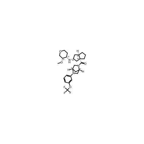 CO[C@@H]1COCC[C@@H]1N[C@@H]1C[C@H]2CCC[C@@]2(C(=O)N2C[C@@H]3C[C@H]2CN3c2cccc(OC(F)(F)F)c2)C1